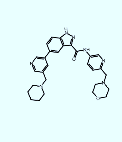 O=C(Nc1ccc(CN2CCOCC2)nc1)c1n[nH]c2ccc(-c3cncc(CN4CCCCC4)c3)cc12